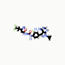 CC(C)(c1cc(NC(=O)Nc2ccc(-c3nn(C4CC4)c4ncnc(N)c34)cc2F)on1)C(F)F